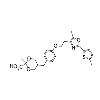 Cc1ccc(-c2nc(CCOc3ccc(CC4COC(C)(C(=O)O)OC4)cc3)c(C)o2)s1